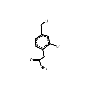 NC(=O)Cc1ccc(CCl)cc1Br